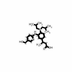 CC(C)CN(CC(C)C)c1ccc(C(C)CC(=O)O)cc1Nc1ccc(CO)cn1